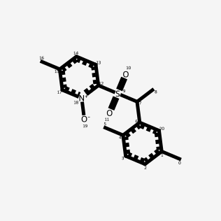 Cc1ccc(C)c(C(C)S(=O)(=O)c2ccc(C)c[n+]2[O-])c1